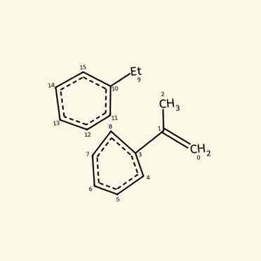 C=C(C)c1ccccc1.CCc1ccccc1